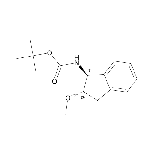 CO[C@H]1Cc2ccccc2[C@@H]1NC(=O)OC(C)(C)C